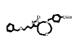 CCn1nc(CCCOCc2ccccc2)c2c1CN(Cc1ccc(OC)cc1)CCCOCCC2